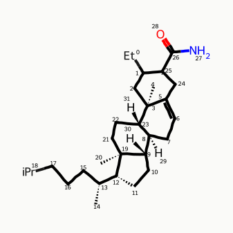 CCC1C[C@@]2(C)C(=CC[C@H]3[C@@H]4CC[C@H]([C@H](C)CCCC(C)C)[C@@]4(C)CC[C@@H]32)C[C]1C(N)=O